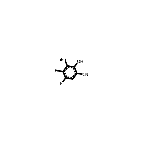 CCC(C)c1c(O)c(C#N)cc(F)c1F